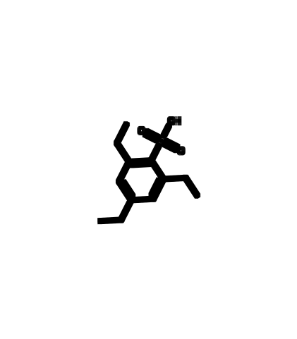 CCc1cc(CC)c(S(=O)(=O)O)c(CC)c1